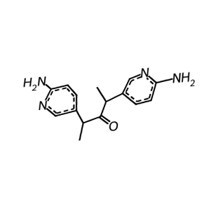 CC(C(=O)C(C)c1ccc(N)nc1)c1ccc(N)nc1